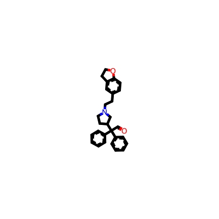 O=CC(c1ccccc1)(c1ccccc1)C1CCN(CCc2ccc3c(c2)CCO3)C1